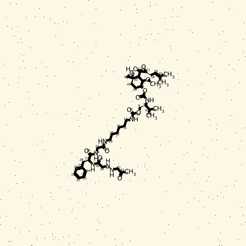 COC1C(OC(=O)N[C@@H](COC(=O)NCCCCCCNC(=O)CNC(=O)[C@H](Cc2ccccc2)NC(=O)CNNCC(C)=O)C(C)C)CC[C@]2(CO2)C1C1(C)O[C@@H]1CC=C(C)C